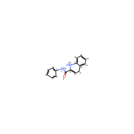 O=C(Nc1ccccc1)C1=CCc2ccccc2N1